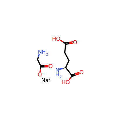 NCC(=O)[O-].N[C@@H](CCC(=O)O)C(=O)O.[Na+]